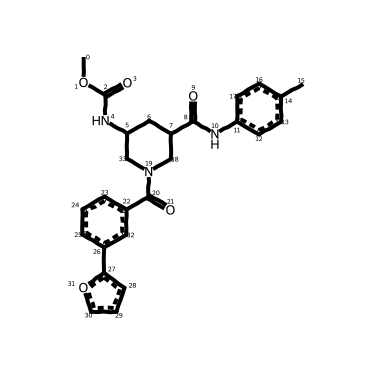 COC(=O)NC1CC(C(=O)Nc2ccc(C)cc2)CN(C(=O)c2cccc(-c3ccco3)c2)C1